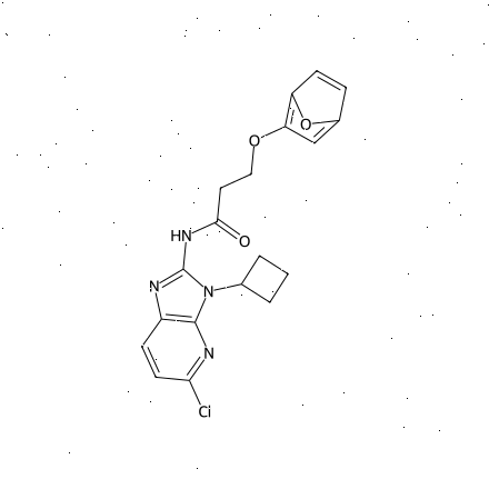 O=C(CCOc1cc2ccc1o2)Nc1nc2ccc(Cl)nc2n1C1CCC1